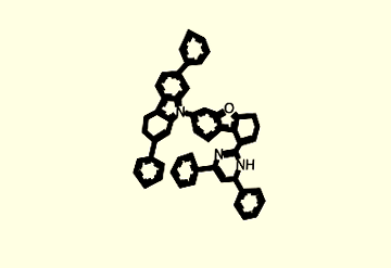 C1=C(c2ccccc2)CCc2c1n(-c1ccc3c4c(oc3c1)CCC=C4C1=NC(c3ccccc3)=CC(c3ccccc3)N1)c1cc(-c3ccccc3)ccc21